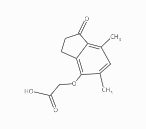 Cc1cc(C)c2c(c1OCC(=O)O)CCC2=O